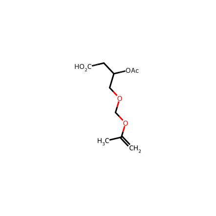 C=C(C)OCOCC(CC(=O)O)OC(C)=O